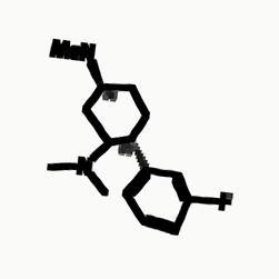 CN[C@H]1CC[C@H](c2cccc(F)c2)C(N(C)C)C1